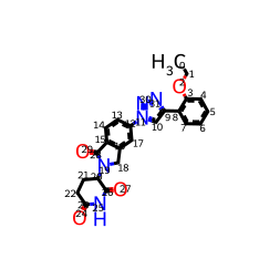 CCOc1ccccc1-c1cn(-c2ccc3c(c2)CN(C2CCC(=O)NC2=O)C3=O)nn1